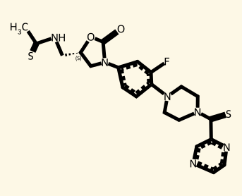 CC(=S)NC[C@H]1CN(c2ccc(N3CCN(C(=S)c4cnccn4)CC3)c(F)c2)C(=O)O1